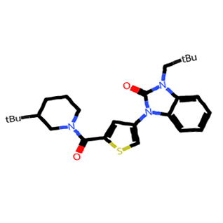 CC(C)(C)Cn1c(=O)n(-c2csc(C(=O)N3CCCC(C(C)(C)C)C3)c2)c2ccccc21